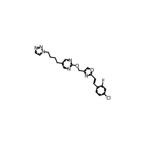 Fc1cc(Cl)ccc1C=Cc1nc(COc2ncc(CCCCn3ccnn3)cn2)co1